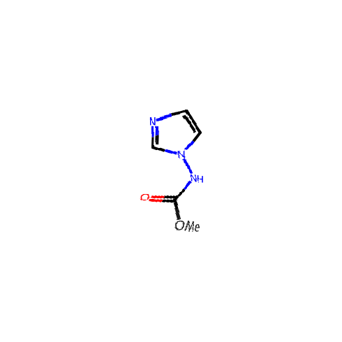 COC(=O)Nn1ccnc1